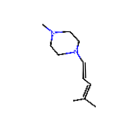 CC(C)=C/C=C/N1CCN(C)CC1